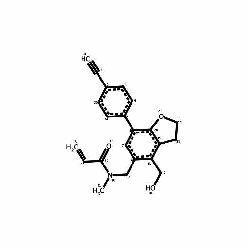 C#Cc1ccc(-c2cc(CN(C)C(=O)C=C)c(CO)c3c2OCC3)cc1